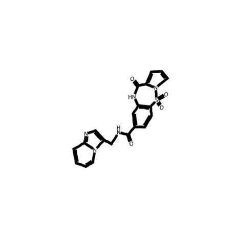 O=C(NCc1cnc2ccccn12)c1ccc2c(c1)NC(=O)c1cccn1S2(=O)=O